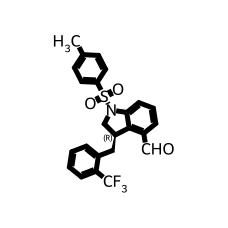 Cc1ccc(S(=O)(=O)N2C[C@H](Cc3ccccc3C(F)(F)F)c3c(C=O)cccc32)cc1